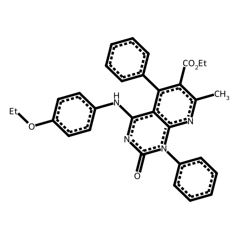 CCOC(=O)c1c(C)nc2c(c(Nc3ccc(OCC)cc3)nc(=O)n2-c2ccccc2)c1-c1ccccc1